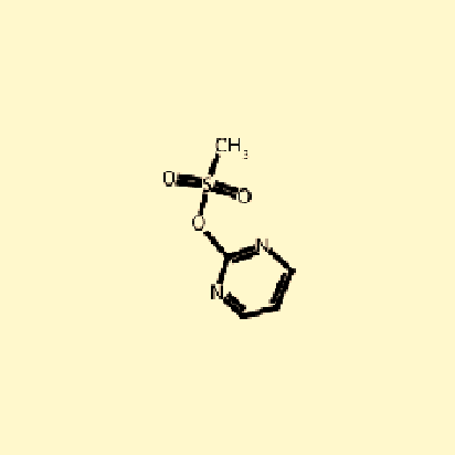 CS(=O)(=O)Oc1ncccn1